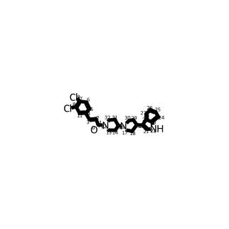 O=C(C=Cc1ccc(Cl)c(Cl)c1)N1CCC(N2CCC(c3c[nH]c4ccccc34)CC2)CC1